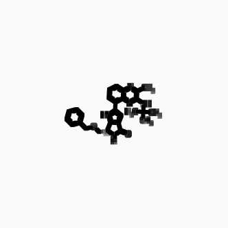 Cc1nc2cccc(-c3cc4c([nH]3)[C@@H](COCc3ccccc3)NC4=O)c2nc1NC(C)(C)C